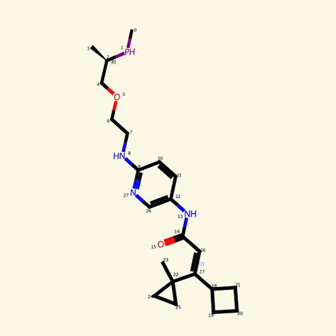 CP[C@H](C)COCCNc1ccc(NC(=O)/C=C(/C2CCC2)C2(C)CC2)cn1